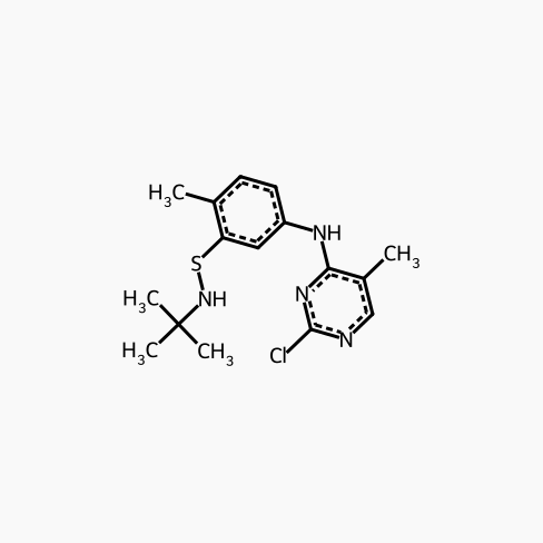 Cc1ccc(Nc2nc(Cl)ncc2C)cc1SNC(C)(C)C